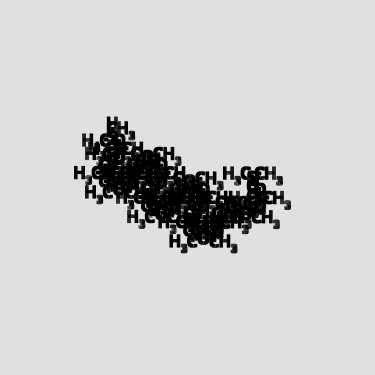 C[SiH](C)OO[Si](C)(C)O[Si](C)(C)O[Si](C)(C)O[Si](C)(C)O[Si](C)(C)O[Si](C)(C)O[Si](C)(C)O[Si](C)(C)O[Si](C)(C)O[Si](C)(C)O[Si](C)(C)O[Si](C)(C)O[Si](C)(C)O[Si](C)(C)O[Si](C)(C)O[Si](C)(C)O[Si](C)(C)O[Si](C)(C)O[Si](C)(C)O[Si](C)(C)O[Si](C)(C)O[Si](C)(C)O[Si](C)(C)O[Si](C)(C)O[Si](C)(C)O[Si](C)(C)O[SiH](C)C